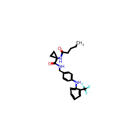 CCCCC(=O)NC1(C(=O)NCc2ccc(Nc3ccccc3C(F)(F)F)cc2)CC1